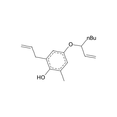 C=CCc1cc(OC(C=C)CCCC)cc(C)c1O